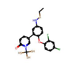 CCSNc1ccc(Oc2ccc(F)cc2F)c(-c2ccc(=O)n(C(S)(S)S)c2)c1